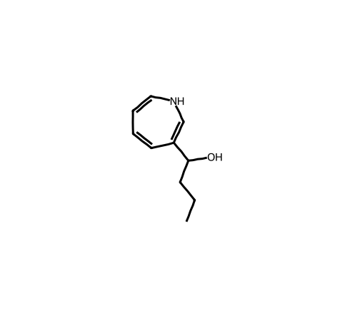 CCCC(O)C1=CNC=CC=C1